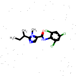 CCC(C)c1ncc(C(=O)Nc2c(Cl)cc(Cl)cc2Cl)n1C